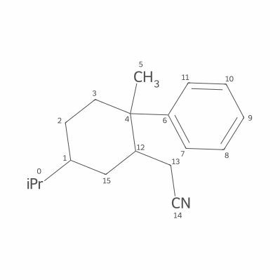 CC(C)C1CCC(C)(c2ccccc2)C(CC#N)C1